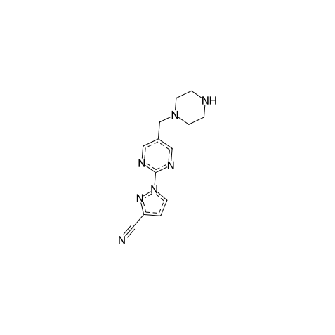 N#Cc1ccn(-c2ncc(CN3CCNCC3)cn2)n1